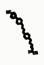 N#CC(F)=CC=CCCC1CCC(CCCCC2CCC(c3ccc(C#N)cc3)CC2)CC1